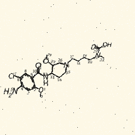 COc1cc(N)c(Cl)cc1C(=O)NC1CCN(CCCCN(C)C(=O)O)CC1OC